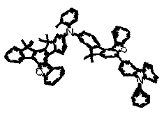 Cc1ccccc1N(c1ccc2c(c1)C(C)(C)c1cc(-c3ccc4c(c3)c3ccccc3n4-c3ccccc3)c3oc4ccccc4c3c1-2)c1ccc2c(c1)C(C)(C)c1c3c(c4oc5ccccc5c4c1-2)-c1ccccc1C3(C)C